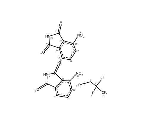 FCC(F)(F)C(F)(F)F.O=C1NC(=O)c2c1cccc2[N+](=O)[O-].O=C1NC(=O)c2c1cccc2[N+](=O)[O-]